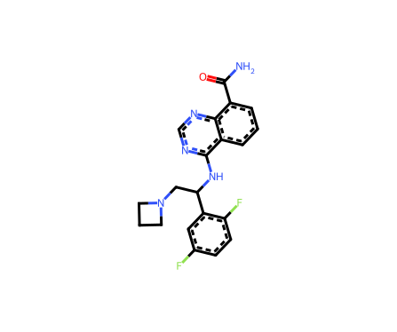 NC(=O)c1cccc2c(NC(CN3CCC3)c3cc(F)ccc3F)ncnc12